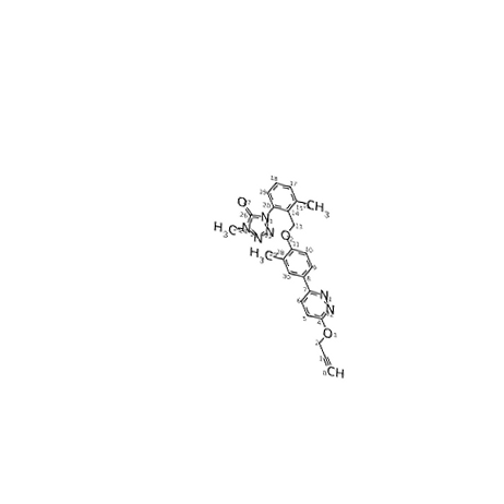 C#CCOc1ccc(-c2ccc(OCc3c(C)cccc3-n3nnn(C)c3=O)c(C)c2)nn1